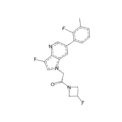 Cc1cccc(-c2cnc3c(F)cn(CC(=O)N4CC(F)C4)c3c2)c1F